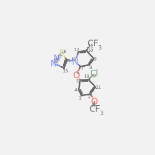 FC(F)(F)Oc1ccc(OC2C=CC(C(F)(F)F)=CN2c2cnns2)c(Cl)c1